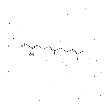 C=C/C(O)=C/C/C=C(\C)CCC=C(C)C